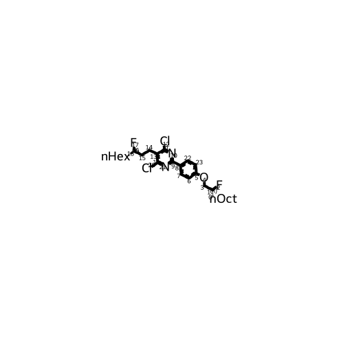 CCCCCCCC[C@@H](F)COc1ccc(-c2nc(Cl)c(CC[C@H](F)CCCCCC)c(Cl)n2)cc1